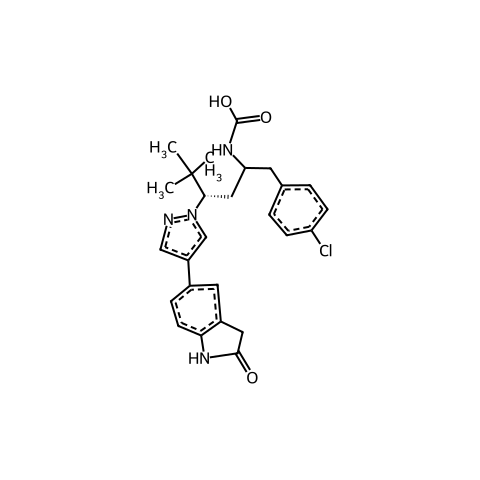 CC(C)(C)[C@H](CC(Cc1ccc(Cl)cc1)NC(=O)O)n1cc(-c2ccc3c(c2)CC(=O)N3)cn1